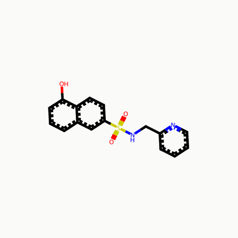 O=S(=O)(NCc1ccccn1)c1ccc2c(O)cccc2c1